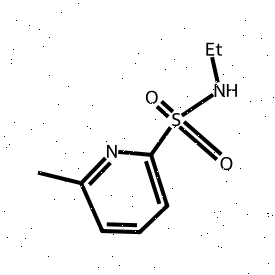 CCNS(=O)(=O)c1cccc(C)n1